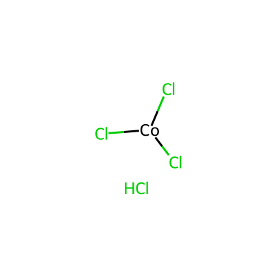 Cl.[Cl][Co]([Cl])[Cl]